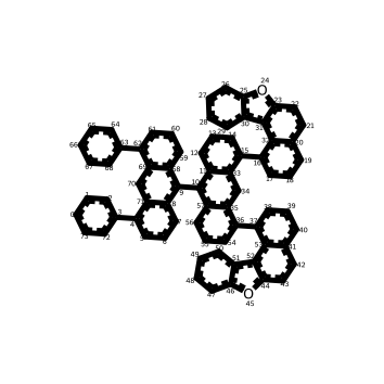 c1ccc(-c2cccc3c(-c4c5cccc(-c6cccc7ccc8oc9ccccc9c8c67)c5cc5c(-c6cccc7ccc8oc9ccccc9c8c67)cccc45)c4cccc(-c5ccccc5)c4cc23)cc1